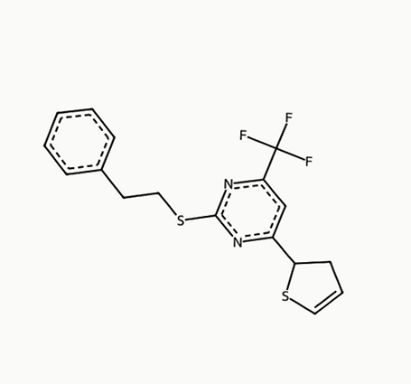 FC(F)(F)c1cc(C2CC=CS2)nc(SCCc2ccccc2)n1